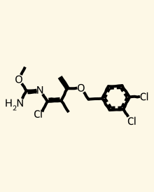 C=C(OCc1ccc(Cl)c(Cl)c1)/C(C)=C(Cl)\N=C(/N)OC